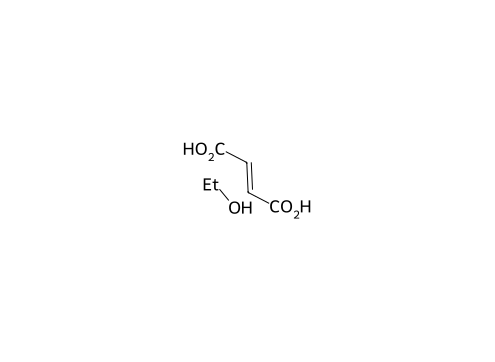 CCO.O=C(O)/C=C/C(=O)O